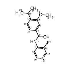 COc1cc(C(=O)Nc2ccncc2I)ccc1C(C)C